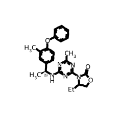 CCC1COC(=O)N1c1nc(C)nc(N[C@@H](C)c2ccc(Oc3ccccc3)c(C)c2)n1